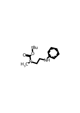 CN(CCNc1ccccc1)C(=O)OC(C)(C)C